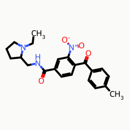 CCN1CCCC1CNC(=O)c1ccc(C(=O)c2ccc(C)cc2)c([N+](=O)[O-])c1